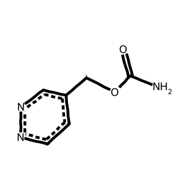 NC(=O)O[CH]c1ccnnc1